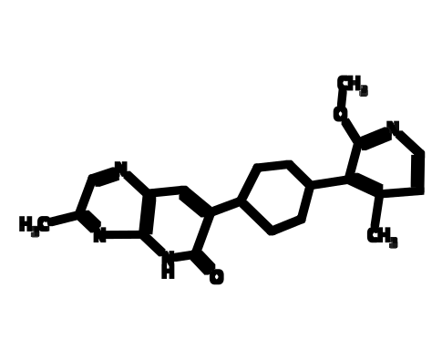 COc1nccc(C)c1C1CCC(c2cc3ncc(C)nc3[nH]c2=O)CC1